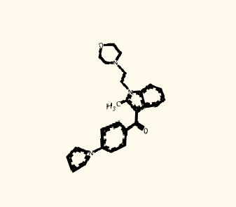 Cc1c(C(=O)c2ccc(-n3cccc3)cc2)c2ccccc2n1CCN1CCOCC1